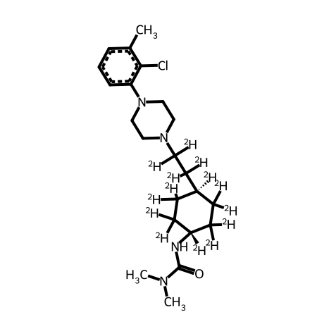 [2H]C([2H])(N1CCN(c2cccc(C)c2Cl)CC1)C([2H])([2H])[C@]1([2H])C([2H])([2H])C([2H])([2H])[C@@]([2H])(NC(=O)N(C)C)C([2H])([2H])C1([2H])[2H]